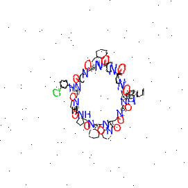 CC[C@H](C)[C@@H]1NC(=O)[C@H](C)N(C)C(=O)C[C@@H](C(=O)N2CCCCC2)N(C)C(=O)[C@H](C2CCCCC2)N(C)C(=O)C2(CCCC2)NC(=O)[C@@H]2CCCN2C(=O)[C@H](CCc2cccc(Cl)c2)NC(=O)CN(C)C(=O)[C@H](CC2CCCCC2)N(C)C(=O)CN(C)C(=O)CN(C)C1=O